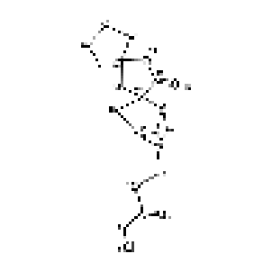 O=C(CCl)OCC1CC2CC1CC21CC2(CCCC2)OC1=O